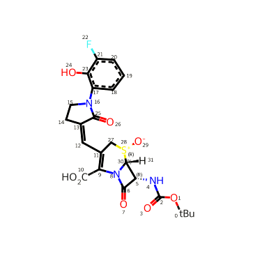 CC(C)(C)OC(=O)N[C@@H]1C(=O)N2C(C(=O)O)=C(C=C3CCN(c4cccc(F)c4O)C3=O)C[S@+]([O-])[C@H]12